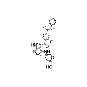 O=C(Nc1ccccc1)c1ccc(C(=O)c2c[nH]c3ncnc(N[C@@H]4CC[C@@H](CO)OC4)c23)c(Cl)c1